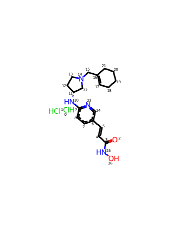 Cl.Cl.O=C(C=Cc1ccc(N[C@@H]2CCN(CC3=CCCCC3)C2)nc1)NO